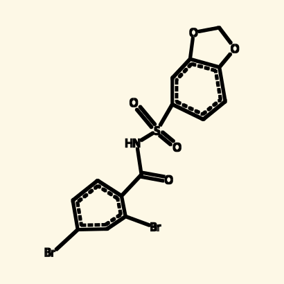 O=C(NS(=O)(=O)c1ccc2c(c1)OCO2)c1ccc(Br)cc1Br